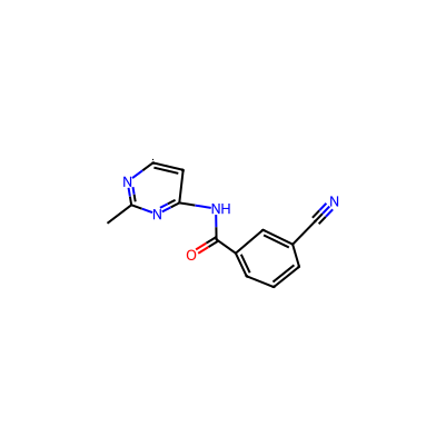 Cc1n[c]cc(NC(=O)c2cccc(C#N)c2)n1